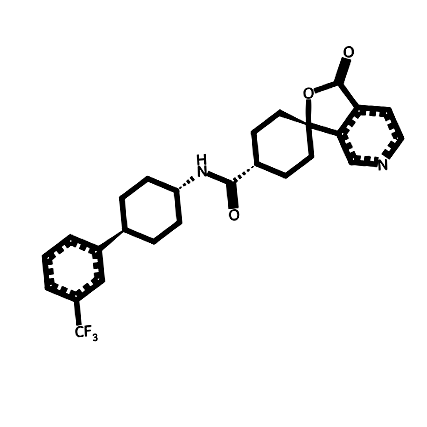 O=C1O[C@]2(CC[C@@H](C(=O)N[C@H]3CC[C@H](c4cccc(C(F)(F)F)c4)CC3)CC2)c2cnccc21